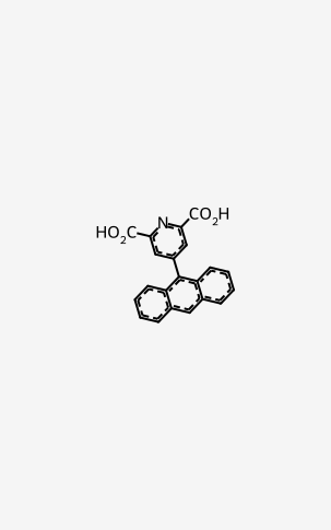 O=C(O)c1cc(-c2c3ccccc3cc3ccccc23)cc(C(=O)O)n1